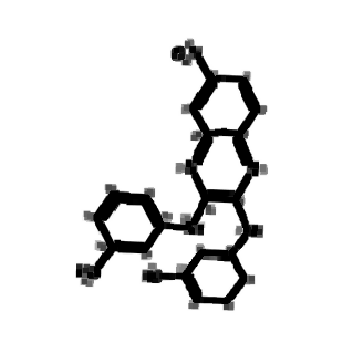 O=[N+]([O-])c1ccc2nc(NC3=CC(O)=CCC3)c(NC3=C=C=CC(O)=C3)nc2c1